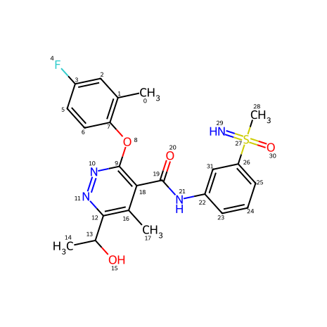 Cc1cc(F)ccc1Oc1nnc(C(C)O)c(C)c1C(=O)Nc1cccc(S(C)(=N)=O)c1